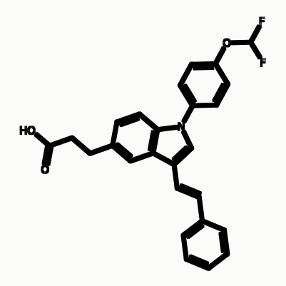 O=C(O)CCc1ccc2c(c1)c(C=Cc1ccccc1)cn2-c1ccc(OC(F)F)cc1